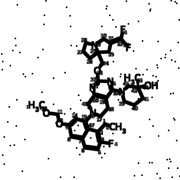 CCc1c(F)ccc2cc(OCOC)cc(N3CCc4c(nc(OCC56CCCN5CC(=C(F)F)C6)nc4N4CCC[C@@](C)(O)C4)C3)c12